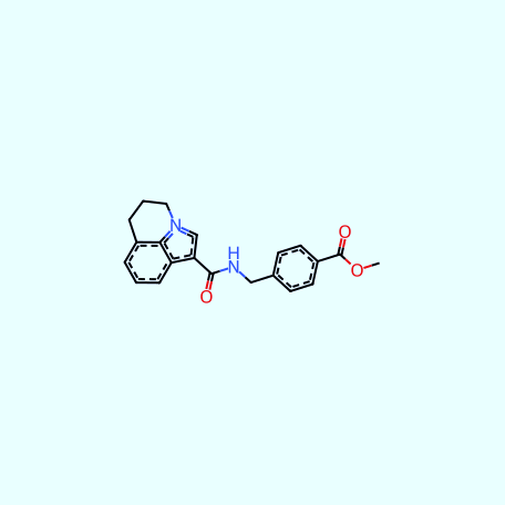 COC(=O)c1ccc(CNC(=O)c2cn3c4c(cccc24)CCC3)cc1